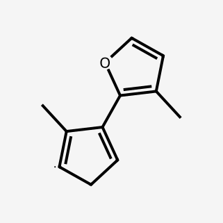 CC1=[C]CC=C1c1occc1C